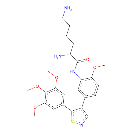 COc1ccc(-c2cnsc2-c2cc(OC)c(OC)c(OC)c2)cc1NC(=O)[C@H](N)CCCCN